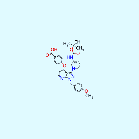 COc1ccc(Cn2nc(N3CCC[C@@H](NC(=O)OC(C)(C)C)C3)c3c(Oc4ccc(C(=O)O)cc4)ccnc32)cc1